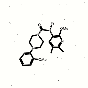 CCN(C(=O)N1CCN(c2ccccc2OC)CC1)c1cc(C)c(C)nc1OC